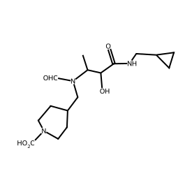 CC(C(O)C(=O)NCC1CC1)N(C=O)CC1CCN(C(=O)O)CC1